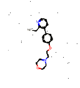 N#CCc1ncccc1-c1ccc(OCCN2CCOCC2)cc1